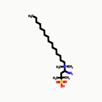 CCCCCCCCCCCCCCCC[N+](C)(C)C(N)CC(C)(C)S(=O)(=O)O